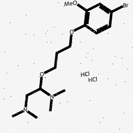 COc1cc(Br)ccc1OCCCOC(CN(C)C)N(C)C.Cl.Cl